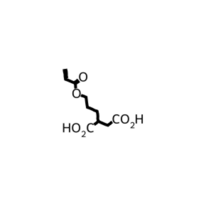 C=CC(=O)OCCCC(CC(=O)O)C(=O)O